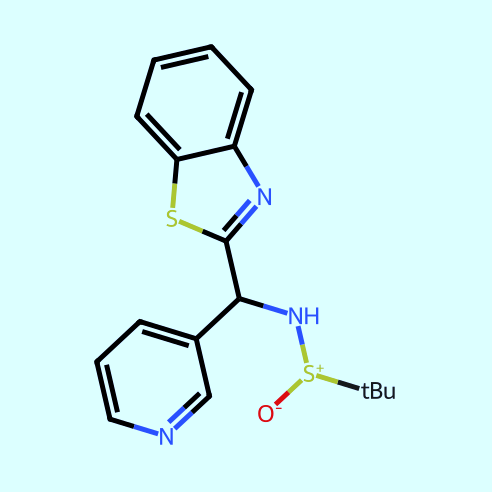 CC(C)(C)[S+]([O-])NC(c1cccnc1)c1nc2ccccc2s1